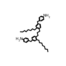 CCCCCCCCc1cc(Cc2ccc(N)cc2)ccc1CCCc1ccc(Cc2ccc(N)cc2)cc1CCCCCCCC